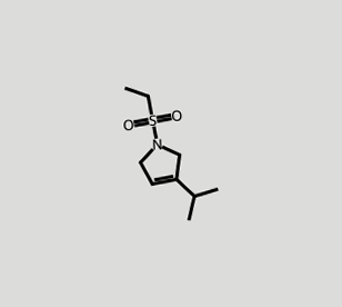 CCS(=O)(=O)N1CC=C(C(C)C)C1